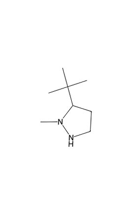 CN1NCCC1C(C)(C)C